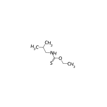 CCOC(=S)NCC(C)C